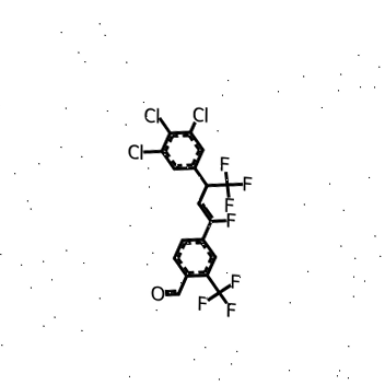 O=Cc1ccc(/C(F)=C/C(c2cc(Cl)c(Cl)c(Cl)c2)C(F)(F)F)cc1C(F)(F)F